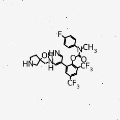 CN(C(=O)Oc1c(/C(C=N)=C/NCC2(O)CCNC2)cc(C(F)(F)F)cc1C(F)(F)F)c1ccc(F)cc1